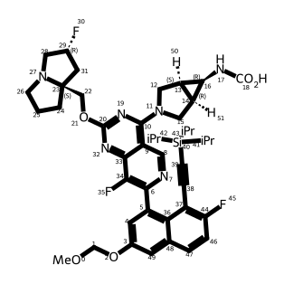 COCOc1cc(-c2ncc3c(N4C[C@@H]5[C@H](C4)[C@@H]5NC(=O)O)nc(OC[C@@]45CCCN4C[C@H](F)C5)nc3c2F)c2c(C#C[Si](C(C)C)(C(C)C)C(C)C)c(F)ccc2c1